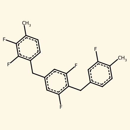 Cc1ccc(Cc2c(F)cc(Cc3ccc(C)c(F)c3F)cc2F)cc1F